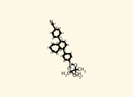 CC1(C)OB(c2ccc(-c3ccc(-c4ccc(C#N)cc4)c4ccccc34)cc2)OC1(C)C